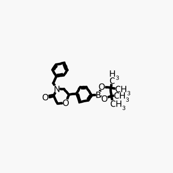 CC1(C)OB(c2ccc(C3CN(Cc4ccccc4)C(=O)CO3)cc2)OC1(C)C